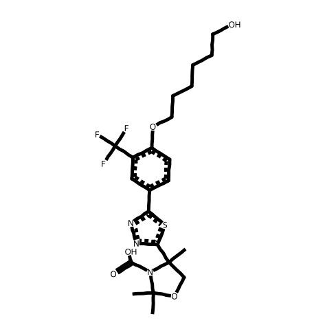 CC1(C)OCC(C)(c2nnc(-c3ccc(OCCCCCCO)c(C(F)(F)F)c3)s2)N1C(=O)O